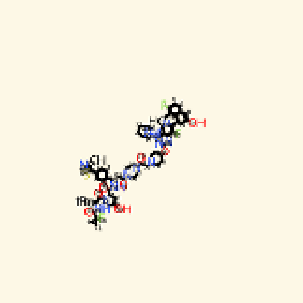 C#Cc1c(F)ccc2cc(O)cc(-c3ncc4c(N5CC6CCC(C5)N6)nc(OC5CCN(CC(=O)N6CCN(C(=O)C[C@H](NC(=O)C7CC(O)CN7C(=O)C(NC(=O)C7(F)CC7)C(C)(C)C)c7ccc(-c8scnc8C)cc7)CC6)CC5)nc4c3F)c12